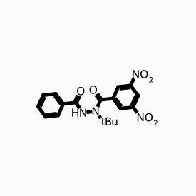 CC(C)(C)N(NC(=O)c1ccccc1)C(=O)c1cc([N+](=O)[O-])cc([N+](=O)[O-])c1